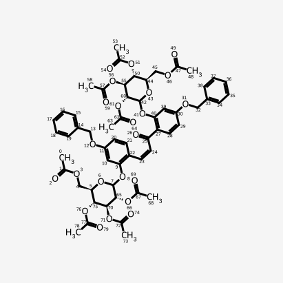 CC(=O)OC[C@H]1OC(Oc2cc(OCc3ccccc3)ccc2C=CC(=O)c2ccc(OCc3ccccc3)cc2OC2O[C@H](COC(C)=O)[C@@H](OC(C)=O)[C@H](OC(C)=O)[C@H]2OC(C)=O)[C@H](OC(C)=O)[C@@H](OC(C)=O)[C@@H]1OC(C)=O